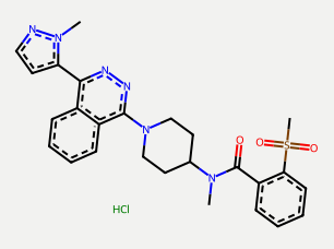 CN(C(=O)c1ccccc1S(C)(=O)=O)C1CCN(c2nnc(-c3ccnn3C)c3ccccc23)CC1.Cl